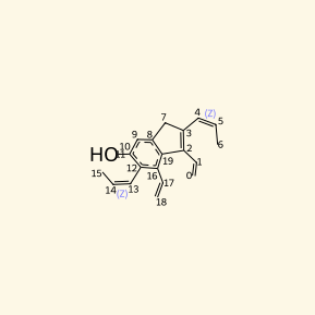 C=CC1=C(/C=C\C)Cc2cc(O)c(/C=C\C)c(C=C)c21